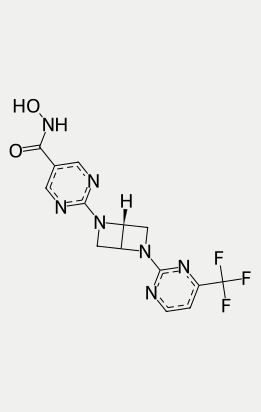 O=C(NO)c1cnc(N2CC3[C@H]2CN3c2nccc(C(F)(F)F)n2)nc1